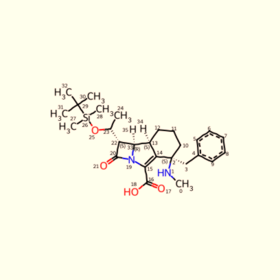 CN[C@]1(Cc2ccccc2)CCC[C@H]2C1=C(C(=O)O)N1C(=O)[C@H](C(C)O[Si](C)(C)C(C)(C)C)[C@@H]21